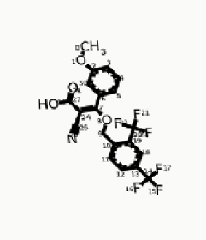 COc1cccc(C(OCc2ccc(C(F)(F)F)cc2C(F)(F)F)=C(C#N)C(=O)O)c1